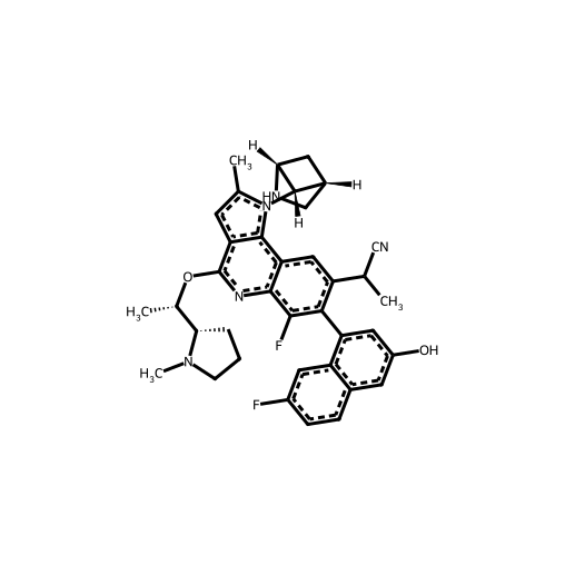 Cc1cc2c(O[C@@H](C)[C@@H]3CCCN3C)nc3c(F)c(-c4cc(O)cc5ccc(F)cc45)c(C(C)C#N)cc3c2n1[C@H]1[C@H]2CN[C@@H]1C2